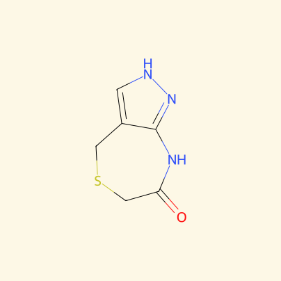 O=C1CSCc2c[nH]nc2N1